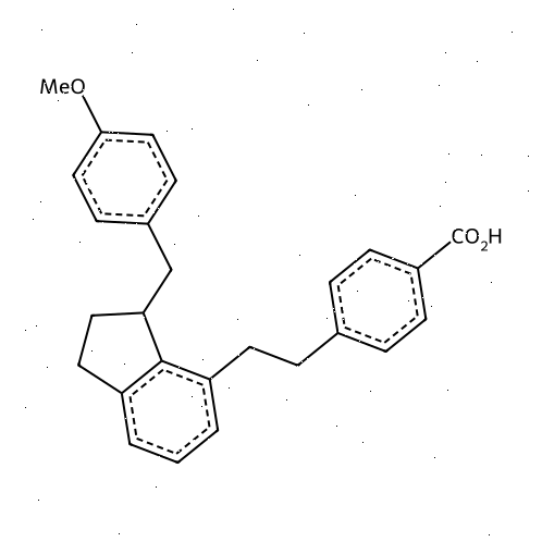 COc1ccc(CC2CCc3cccc(CCc4ccc(C(=O)O)cc4)c32)cc1